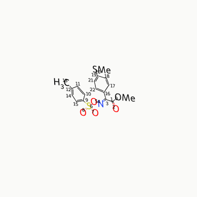 COC(=O)C(=NOS(=O)(=O)c1ccc(C)cc1)c1ccc(SC)cc1